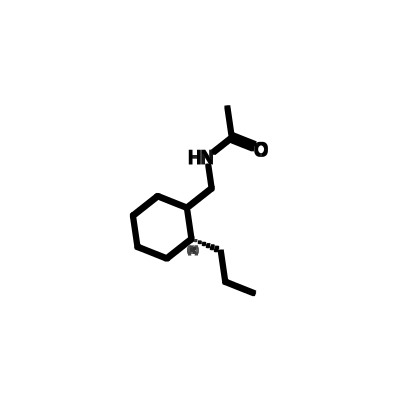 CCC[C@@H]1CCCCC1CNC(C)=O